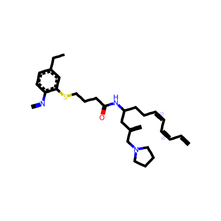 C=C/C=C\C=C/CCC(CC(=C)CN1CCCC1)NC(=O)CCCSc1cc(CC)ccc1N=C